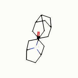 O=C1CC2CCC(C1)N2C12CC3CC(C1)C(C3)C2